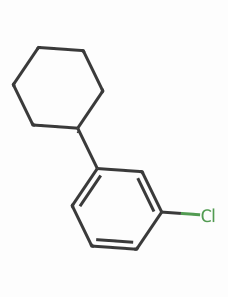 Clc1cccc([C]2CCCCC2)c1